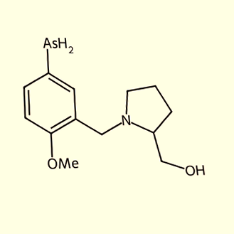 COc1ccc([AsH2])cc1CN1CCCC1CO